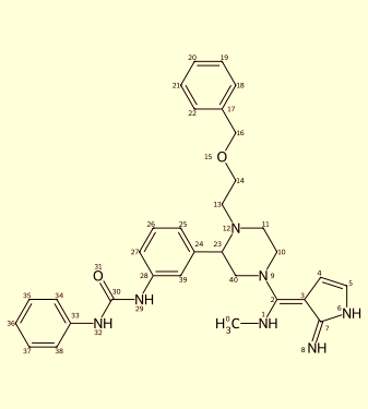 CN/C(=C1/C=CNC1=N)N1CCN(CCOCc2ccccc2)C(c2cccc(NC(=O)Nc3ccccc3)c2)C1